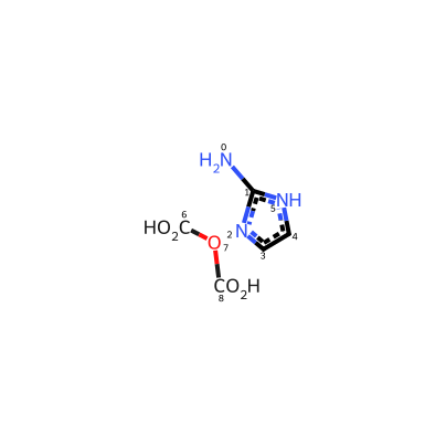 Nc1ncc[nH]1.O=C(O)OC(=O)O